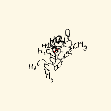 CC[C@@H](C)C(=O)O[C@H]1C(=O)O[C@@H]2C[C@H]3C(C)=CC(=O)[C@@H](O)[C@]3(C)[C@H]3[C@@H](O)[C@H](O)[C@@]4(C)OC[C@]32[C@@H]14